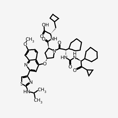 COc1ccc2c(O[C@@H]3C[C@@H](C(=O)N[C@@H](CC4CCC4)C(=O)O)N(C(=O)[C@@H](NC(=O)N[C@H](C(=O)C4CC4)C4CCCCC4)C4CCCCC4)C3)cc(-c3csc(NC(C)C)n3)nc2c1